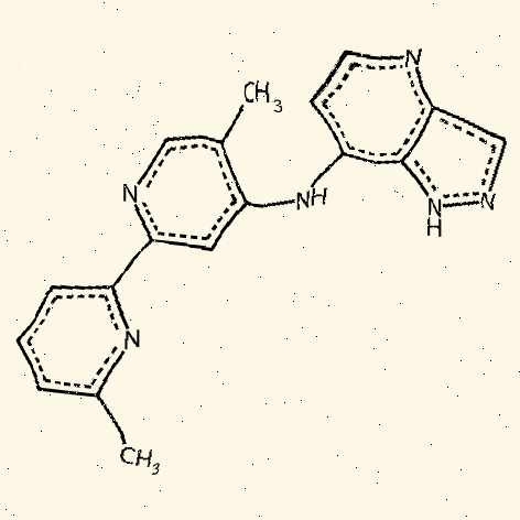 Cc1cccc(-c2cc(Nc3ccnc4cn[nH]c34)c(C)cn2)n1